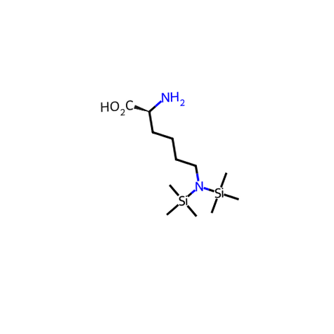 C[Si](C)(C)N(CCCC[C@H](N)C(=O)O)[Si](C)(C)C